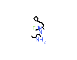 C/C=C(/N)C/C(C)=N\C(=C\F)N(C)C(C)/C=C\C=C1CCCC1